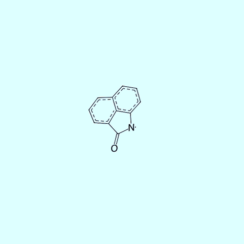 O=C1[N]c2cccc3cccc1c23